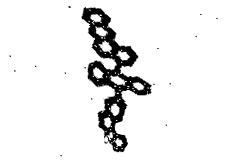 c1ccc2cc3c(ccc4c(-c5c6ccccc6c(-c6ccc7c(ccc8oc9ccccc9c87)c6)c6ccccc56)cccc43)cc2c1